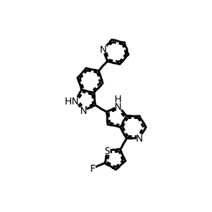 Fc1ccc(-c2nccc3[nH]c(-c4n[nH]c5ccc(-c6ccccn6)cc45)cc23)s1